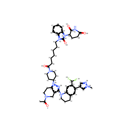 CC(=O)N1CCc2c(c(N3CCCc4cc(-c5cnn(C)c5)c(C(F)F)cc43)nn2C2CCN(C(=O)CCCCCCn3c(=O)n(C4CCC(=O)NC4=O)c4ccccc43)CC2)C1